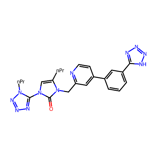 CCCc1cn(-c2nnnn2CCC)c(=O)n1Cc1cc(-c2cccc(-c3nnn[nH]3)c2)ccn1